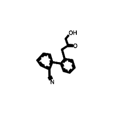 N#Cc1ccccc1-c1ccccc1CC(=O)CO